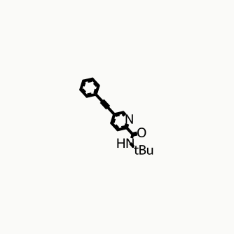 CC(C)(C)NC(=O)c1ccc(C#Cc2ccccc2)cn1